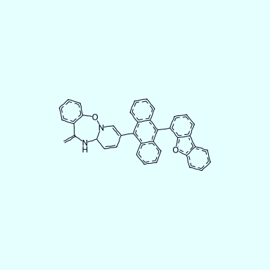 C=C1NC2C=CC(c3c4ccccc4c(-c4cccc5c4oc4ccccc45)c4ccccc34)=CN2Oc2ccccc21